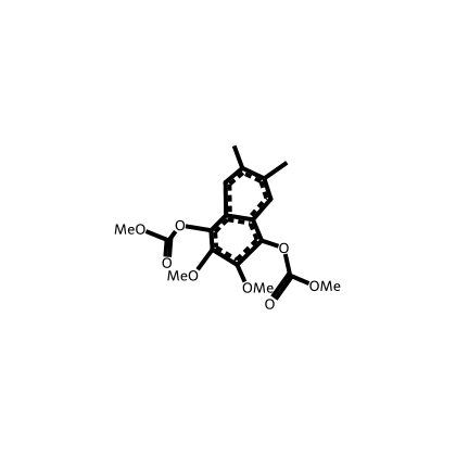 COC(=O)Oc1c(OC)c(OC)c(OC(=O)OC)c2cc(C)c(C)cc12